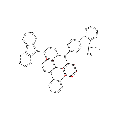 CC1(C)c2ccccc2-c2ccc(N(c3ccc(-n4c5ccccc5c5ccccc54)cc3)c3ccccc3-c3ccccc3-c3ccccc3-c3ccccc3)cc21